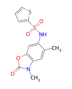 Cc1cc2c(cc1NS(=O)(=O)c1cccs1)oc(=O)n2C